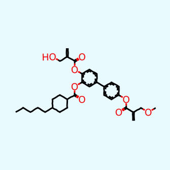 C=C(COC)C(=O)Oc1ccc(-c2ccc(OC(=O)C(=C)CO)c(OC(=O)C3CCC(CCCCC)CC3)c2)cc1